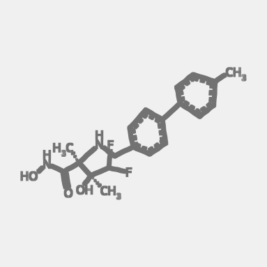 Cc1ccc(-c2ccc(CN[C@](C)(C(=O)NO)[C@](C)(O)C(F)F)cc2)cc1